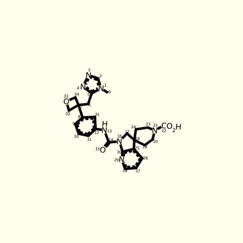 Cn1cnnc1CC1(c2cccc(NC(=O)N3CC4(CCN(C(=O)O)CC4)c4cccnc43)c2)COC1